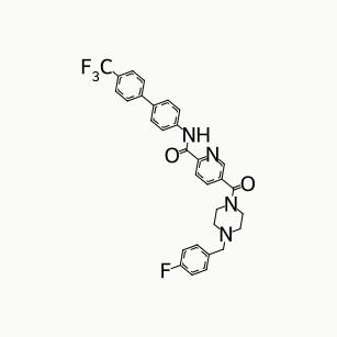 O=C(Nc1ccc(-c2ccc(C(F)(F)F)cc2)cc1)c1ccc(C(=O)N2CCN(Cc3ccc(F)cc3)CC2)cn1